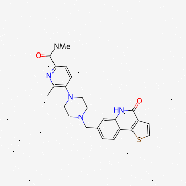 CNC(=O)c1ccc(N2CCN(Cc3ccc4c(c3)[nH]c(=O)c3ccsc34)CC2)c(C)n1